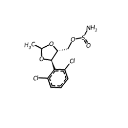 CC1O[C@H](c2c(Cl)cccc2Cl)[C@@H](COS(N)=O)O1